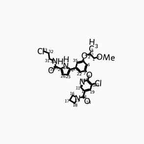 COC[C@H](C)Oc1cc(Oc2ncc(C(=O)N3CCC3)cc2Cl)cc(-c2ccc(C(=O)NCCCl)[nH]2)c1